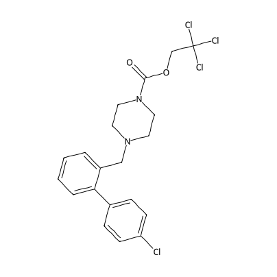 O=C(OCC(Cl)(Cl)Cl)N1CCN(Cc2ccccc2-c2ccc(Cl)cc2)CC1